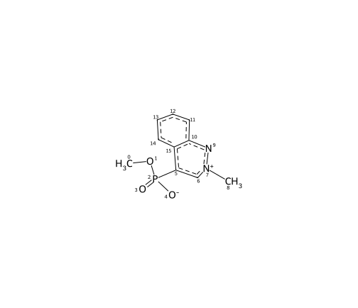 COP(=O)([O-])c1c[n+](C)nc2ccccc12